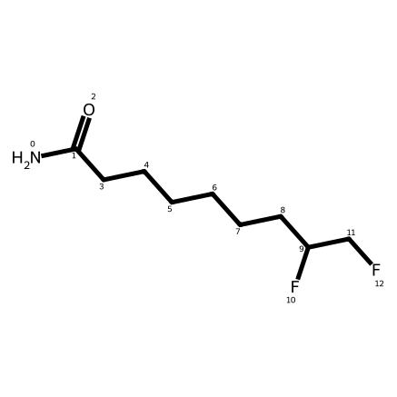 NC(=O)CCCCCCC(F)CF